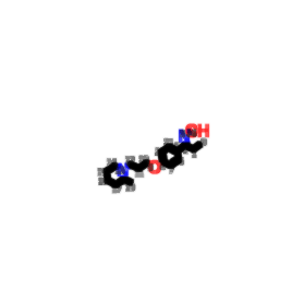 CCC(=NO)c1ccc(OCCCN2CCCCC2C)cc1